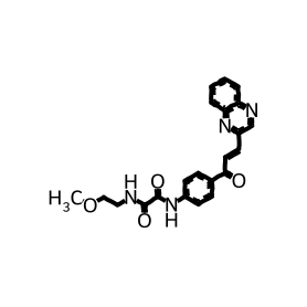 COCCNC(=O)C(=O)Nc1ccc(C(=O)C=Cc2cnc3ccccc3n2)cc1